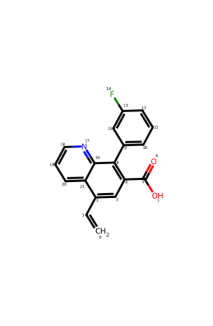 C=Cc1cc(C(=O)O)c(-c2cccc(F)c2)c2ncccc12